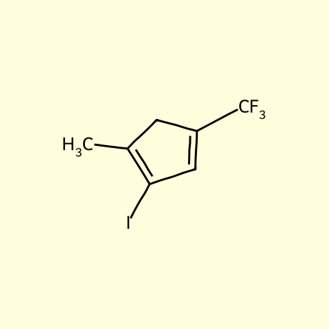 CC1=C(I)C=C(C(F)(F)F)C1